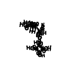 O=C(O)CC[C@H](NC(=O)N[C@@H](CCCCNC(=O)[C@@H](Cc1ccc2cnccc2c1)NC(=O)C1CCC(CNC(=O)CN2CCN(CC(=O)O)CCN(CC(=O)O)CCN(CC(=O)O)CC2)CC1)C(=O)O)C(=O)O